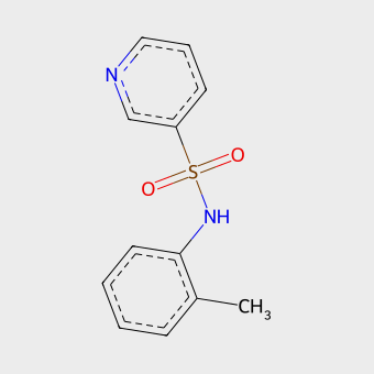 Cc1ccccc1NS(=O)(=O)c1cccnc1